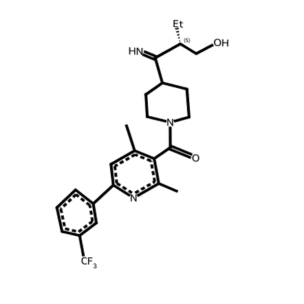 CC[C@H](CO)C(=N)C1CCN(C(=O)c2c(C)cc(-c3cccc(C(F)(F)F)c3)nc2C)CC1